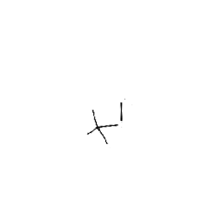 O=C(O)OC(F)(F)C(F)(F)F